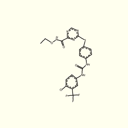 CCONC(=O)c1ncnc(Sc2ccc(NC(=O)Nc3ccc(Cl)c(C(F)(F)F)c3)cc2)n1